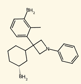 Bc1cccc(C2(C3CCC[C@@H](B)C3)CN(c3ccccc3)C2)c1C